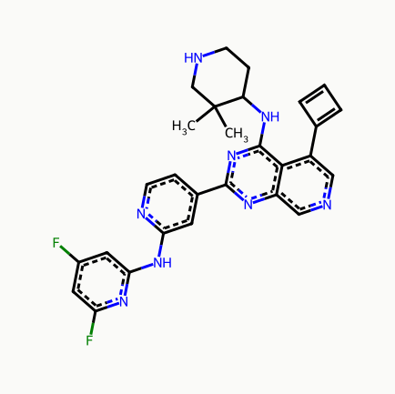 CC1(C)CNCCC1Nc1nc(-c2ccnc(Nc3cc(F)cc(F)n3)c2)nc2cncc(C3=CC=C3)c12